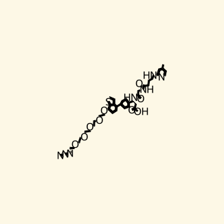 Cc1ccnc(NCCCC(=O)NCC(=O)N[C@@H](CC(=O)O)c2ccc(-c3ccc(OCCOCCOCCOCCOCCN=[N+]=[N-])c4sccc34)cc2)c1